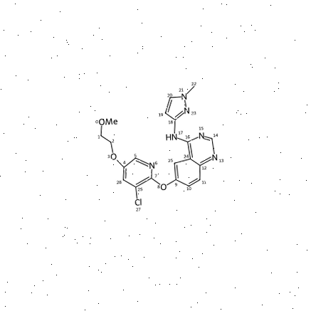 COCCOc1cnc(Oc2ccc3ncnc(Nc4ccn(C)n4)c3c2)c(Cl)c1